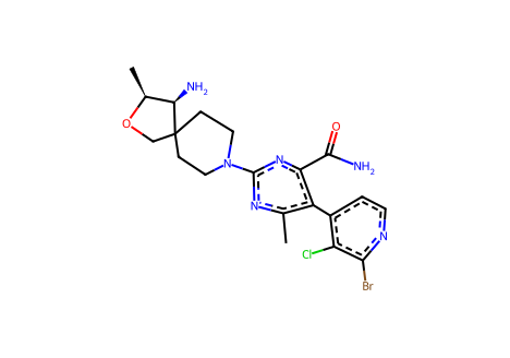 Cc1nc(N2CCC3(CC2)CO[C@@H](C)[C@H]3N)nc(C(N)=O)c1-c1ccnc(Br)c1Cl